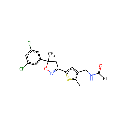 CCC(=O)NCc1cc(C2=NOC(c3cc(Cl)cc(Cl)c3)(C(F)(F)F)C2)sc1C